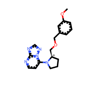 COc1cccc(COC[C@H]2CCCN2c2ccnc3ncnn23)c1